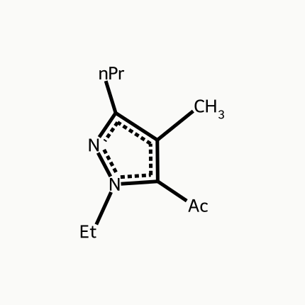 CCCc1nn(CC)c(C(C)=O)c1C